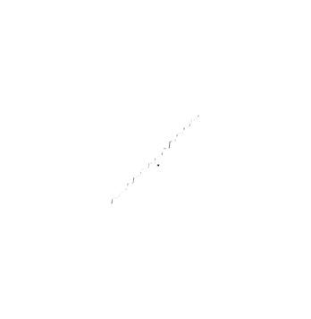 CCCCCCCCCCCCCC(CCCCCCCCCCCC)C(C)(C)C